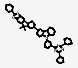 CC1(C)c2cc(-c3ccc4c(c3)c3ccccc3n4-c3cccc(-c4nc(-c5ccccc5)nc(-c5ccccc5)n4)c3)ccc2-c2cc3nc(-c4ccccc4)oc3cc21